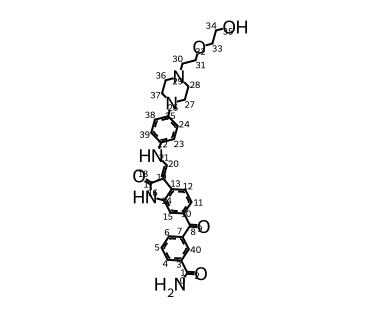 NC(=O)c1cccc(C(=O)c2ccc3c(c2)NC(=O)/C3=C\Nc2ccc(N3CCN(CCOCCO)CC3)cc2)c1